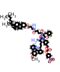 COc1ccc(C(NCCCC[C@H](N)C(=O)N(C(=O)[C@H](Cc2cccc(F)c2)NC(=O)CCC(=O)NCCCOC2CC[C@@]3(C)C(=CC[C@H]4[C@@H]5CC[C@H]([C@H](C)CCCC(C)C)[C@@]5(C)CC[C@@H]43)C2)c2ccc(COC(=O)Oc3ccc([N+](=O)[O-])cc3)cc2)(c2ccccc2)c2ccccc2)cc1